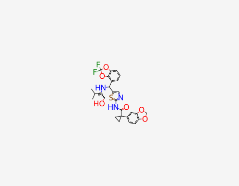 CC(C)[C@H](CO)NC(c1cnc(NC(=O)C2(c3ccc4c(c3)OCO4)CC2)s1)c1cccc2c1OC(F)(F)O2